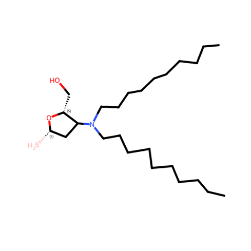 B[C@H]1CC(N(CCCCCCCCCC)CCCCCCCCCC)[C@@H](CO)O1